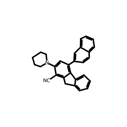 N#Cc1c(N2CCCCC2)cc(-c2ccc3ccccc3c2)c2c1Cc1ccccc1-2